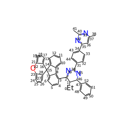 CCC1C(c2cccc3c2-c2ccccc2C32c3ccccc3Oc3ccccc32)=NC(c2ccc(-c3cc(C)nc(C)n3)cc2)=NC1c1ccccc1